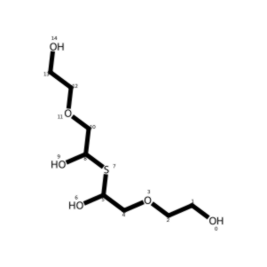 OCCOCC(O)SC(O)COCCO